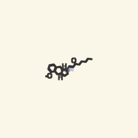 CCCCCC(=O)/C=C/[C@H]1CC[C@@H]2Cc3c(cccc3OC)C[C@@H]21